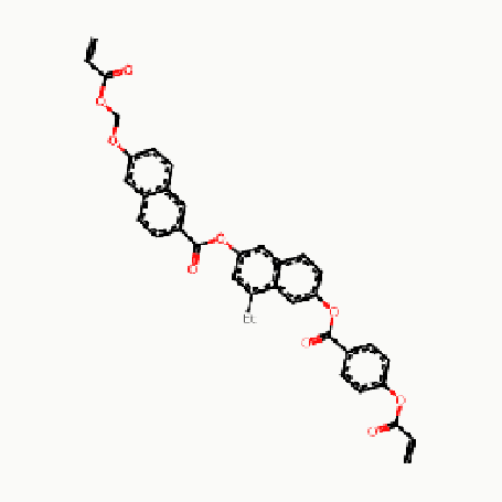 C=CC(=O)OCOc1ccc2cc(C(=O)Oc3cc(CC)c4cc(OC(=O)c5ccc(OC(=O)C=C)cc5)ccc4c3)ccc2c1